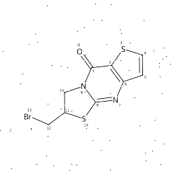 O=c1c2sccc2nc2n1CC(CBr)S2